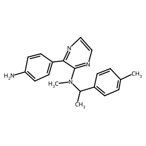 Cc1ccc(C(C)N(C)c2nccnc2-c2ccc(N)cc2)cc1